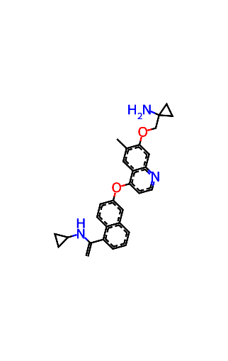 C=C(NC1CC1)c1cccc2cc(Oc3ccnc4cc(OCC5(N)CC5)c(C)cc34)ccc12